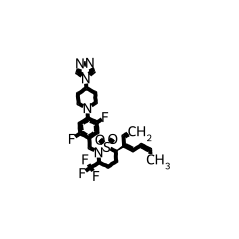 C=C/C(=C\C=C/C)[C@H]1CCC(C(F)(F)F)N(Cc2cc(F)c(N3CCC(n4cnnc4)CC3)cc2F)S1(=O)=O